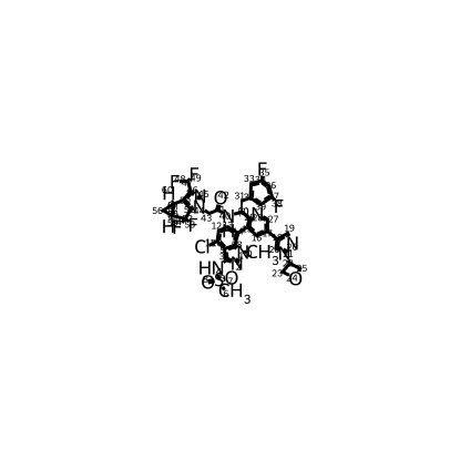 Cn1nc(NS(C)(=O)=O)c2c(Cl)ccc(-c3cc(-c4cnn(C5COC5)c4)cnc3[C@H](Cc3cc(F)cc(F)c3)NC(=O)Cn3nc(C(F)F)c4c3C(F)(F)[C@@H]3C[C@H]43)c21